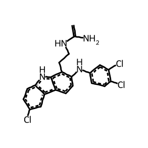 C=C(N)NCCc1c(Nc2ccc(Cl)c(Cl)c2)ccc2c1[nH]c1ccc(Cl)cc12